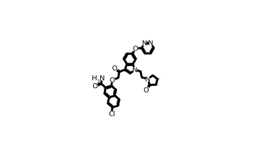 NC(=O)c1cc2cc(Cl)ccc2cc1OCC(=O)c1cn(CCN2C[CH][CH]C2=O)c2cc(Oc3cccnn3)ccc12